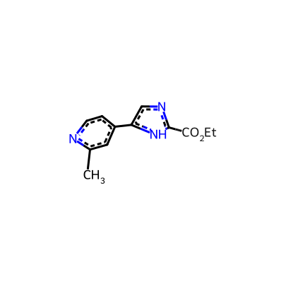 CCOC(=O)c1ncc(-c2ccnc(C)c2)[nH]1